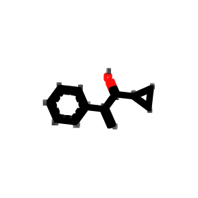 C=C(C(=O)C1CC1)c1ccccc1